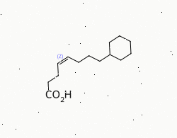 O=C(O)CC/C=C\CCCC1CCCCC1